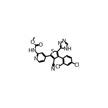 COC(=O)Nc1cc(-c2sc(-c3nnc[nH]3)c(-c3ccc(Cl)cc3Cl)c2C#N)ccn1